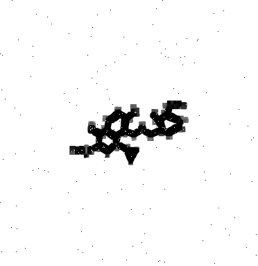 CCOC(=O)c1cn(C2CC2)c2c(COCc3ccnc(NC)c3C)c(Cl)ccc2c1=O